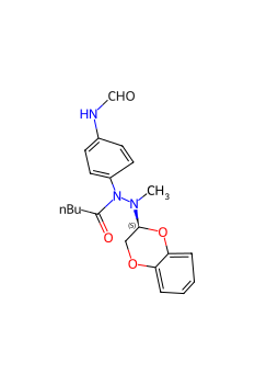 CCCCC(=O)N(c1ccc(NC=O)cc1)N(C)[C@@H]1COc2ccccc2O1